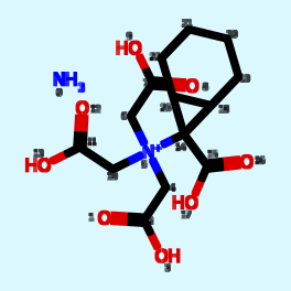 N.O=C(O)C[N+](CC(=O)O)(CC(=O)O)C1(C(=O)O)C2CCCCC21